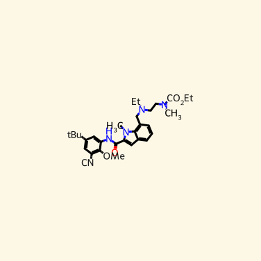 CCOC(=O)N(C)CCN(CC)Cc1cccc2cc(C(=O)Nc3cc(C(C)(C)C)cc(C#N)c3OC)n(C)c12